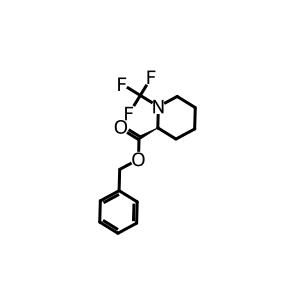 O=C(OCc1ccccc1)[C@@H]1CCCCN1C(F)(F)F